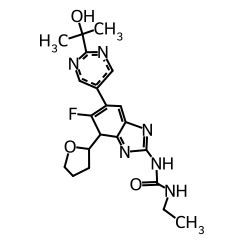 CCNC(=O)NC1=NC2=CC(c3cnc(C(C)(C)O)nc3)=C(F)C(C3CCCO3)C2=N1